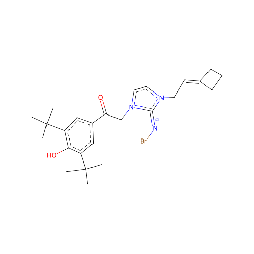 CC(C)(C)c1cc(C(=O)Cn2ccn(CC=C3CCC3)/c2=N/Br)cc(C(C)(C)C)c1O